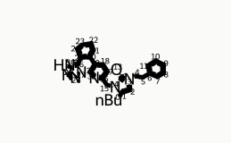 CCCCc1cn(CCc2ccccc2)c(=O)n1Cc1ccc(-c2ccccc2-c2nnn[nH]2)cn1